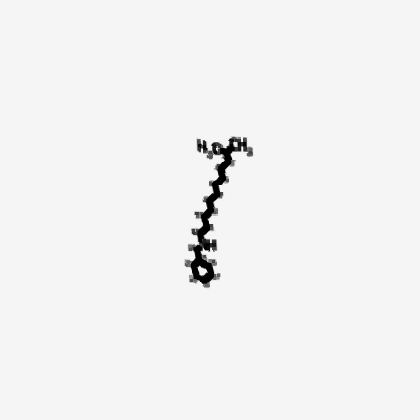 CC(C)CCCCCCCCCCNCc1ccccc1